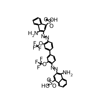 Nc1c(/N=N/c2ccc(-c3ccc(/N=N/c4cc(S(=O)(=O)O)c5ccccc5c4N)c(OC(F)(F)F)c3)cc2OC(F)(F)F)cc(S(=O)(=O)O)c2ccccc12